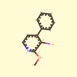 COc1nccc(-c2ccccc2)c1I